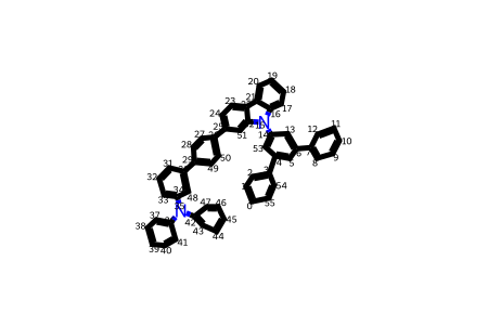 c1ccc(-c2cc(-c3ccccc3)cc(-n3c4ccccc4c4ccc(-c5ccc(-c6cccc(N(c7ccccc7)c7ccccc7)c6)cc5)cc43)c2)cc1